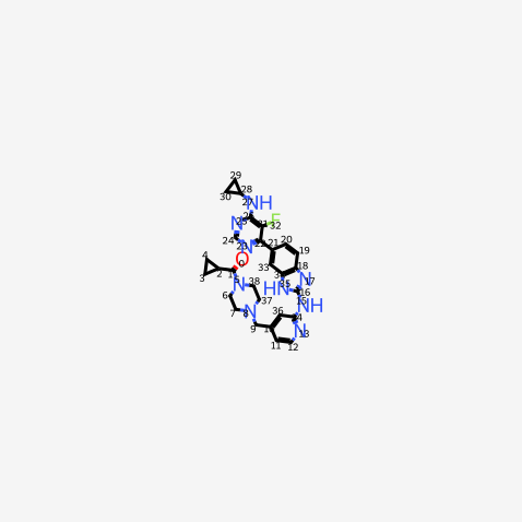 O=C(C1CC1)N1CCN(Cc2ccnc(Nc3nc4ccc(-c5ncnc(NC6CC6)c5F)cc4[nH]3)c2)CC1